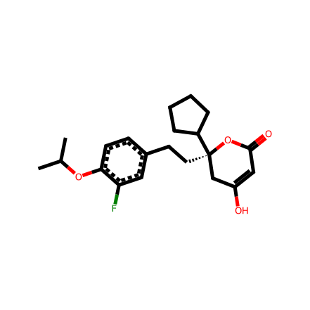 CC(C)Oc1ccc(CC[C@@]2(C3CCCC3)CC(O)=CC(=O)O2)cc1F